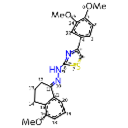 COc1ccc(-c2csc(N/N=C3\CCCc4c(OC)cccc43)n2)cc1OC